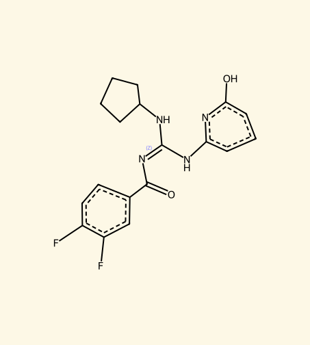 O=C(/N=C(\Nc1cccc(O)n1)NC1CCCC1)c1ccc(F)c(F)c1